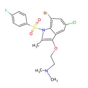 Cc1c(OCCN(C)C)c2cc(Cl)cc(Br)c2n1S(=O)(=O)c1ccc(F)cc1